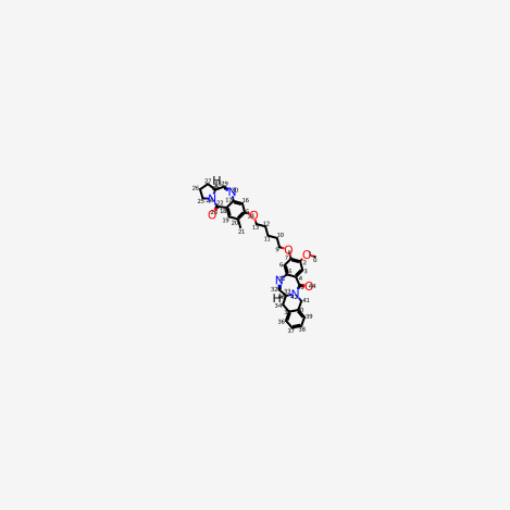 COc1cc2c(cc1OCCCCCOc1cc3c(cc1C)C(=O)N1CCC[C@H]1C=N3)N=C[C@@H]1Cc3ccccc3CN1C2=O